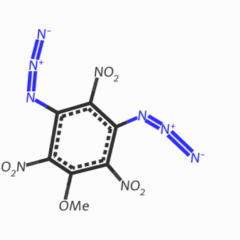 COc1c([N+](=O)[O-])c(N=[N+]=[N-])c([N+](=O)[O-])c(N=[N+]=[N-])c1[N+](=O)[O-]